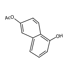 CC(=O)Oc1ccc2c(O)cccc2c1